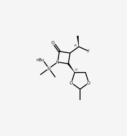 CCCC[Si](C)(C)N1C(=O)C([C@@H](C)F)C1[C@H]1COC(C)O1